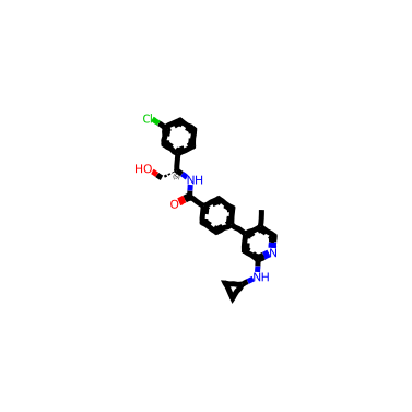 Cc1cnc(NC2CC2)cc1-c1ccc(C(=O)N[C@H](CO)c2cccc(Cl)c2)cc1